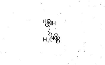 CN(c1ccc(CCCCC(=O)NO)cc1)c1cc(=O)oc2ccccc12